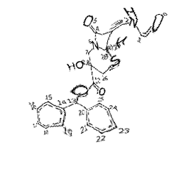 O=CNC1C(=O)N2CC(O)(C(=O)OC(c3ccccc3)c3ccccc3)CS[C@H]12